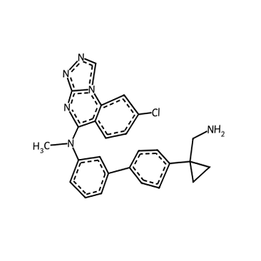 CN(c1cccc(-c2ccc(C3(CN)CC3)cc2)c1)c1nc2nncn2c2cc(Cl)ccc12